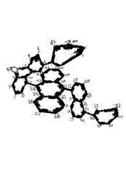 c1ccc(-c2ccc3oc4cccc(-c5c6ccccc6c(-c6cccc7c(-c8ccccc8)cccc67)c6ccccc56)c4c3c2)cc1